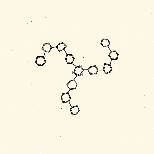 C1=CC(c2nc(-c3ccc(-c4cccc(-c5cccc(-c6ccccc6)c5)c4)cc3)nc(-c3ccc(-c4cccc(-c5cccc(-c6ccccc6)c5)c4)cc3)n2)CC=C1c1cccc(-c2ccccc2)c1